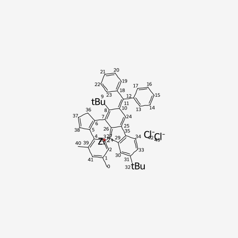 Cc1ccc(C2=C(c3c(C(C)(C)C)c(=C(c4ccccc4)c4ccccc4)cc4c3=[C]([Zr+2])c3cc(C(C)(C)C)ccc3-4)CC=C2)c(C)c1.[Cl-].[Cl-]